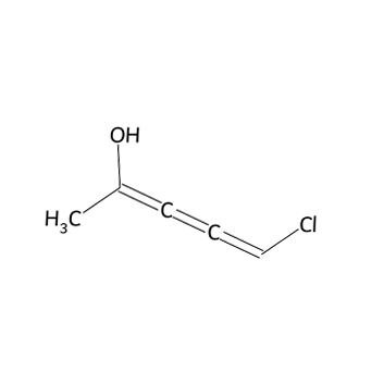 CC(O)=C=C=CCl